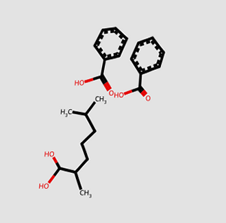 CC(C)CCCC(C)C(O)O.O=C(O)c1ccccc1.O=C(O)c1ccccc1